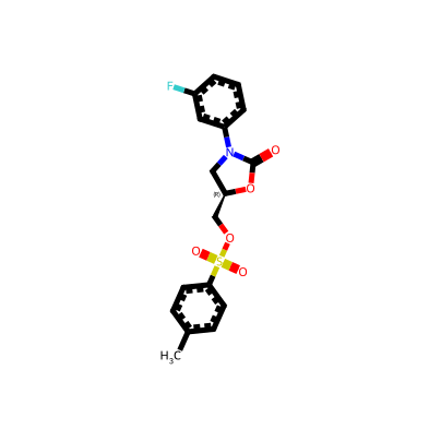 Cc1ccc(S(=O)(=O)OC[C@H]2CN(c3cccc(F)c3)C(=O)O2)cc1